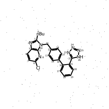 CCCCc1nc2ccc(Cl)nc2n1Cc1ccc(-c2ccccc2-c2nnn[nH]2)cc1